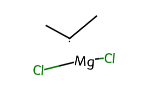 C[CH]C.[Cl][Mg][Cl]